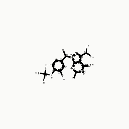 Cc1nc2c(c(C(F)F)nn2C(C)c2ccc(OC(F)(F)F)c(F)c2)c(=O)[nH]1